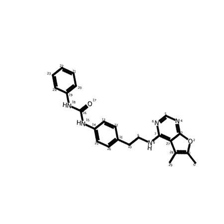 Cc1oc2ncnc(NCCc3ccc(NC(=O)Nc4ccccc4)cc3)c2c1C